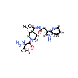 CC(N)C(=O)N1CCC(C(C)NC(=O)Cc2c[nH]c3cccnc23)CC1